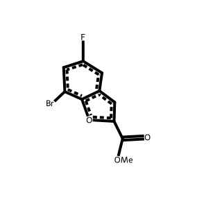 COC(=O)c1cc2cc(F)cc(Br)c2o1